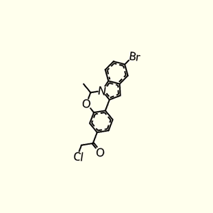 CC1Oc2cc(C(=O)CCl)ccc2-c2cc3cc(Br)ccc3n21